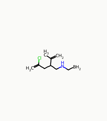 BCNCC(CC(=C)Cl)C(=C)C